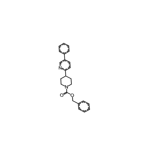 O=C(OCc1ccccc1)N1CCC(c2ccc(-c3ccccc3)cn2)CC1